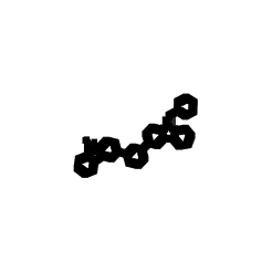 Cn1c2ccccc2c2cc(-c3cccc(-c4ccc5c(c4)c4ccccc4n5Cc4ccccc4)c3)ccc21